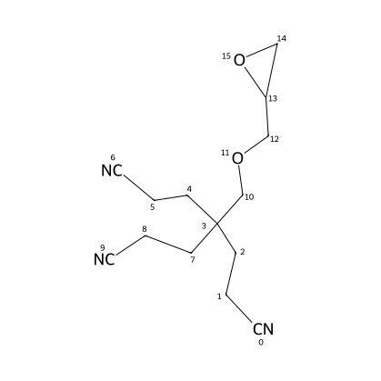 N#CCCC(CCC#N)(CCC#N)COCC1CO1